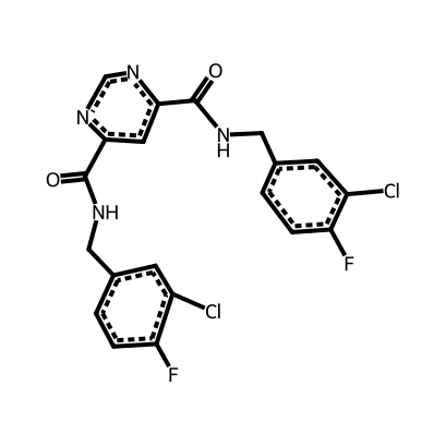 O=C(NCc1ccc(F)c(Cl)c1)c1cc(C(=O)NCc2ccc(F)c(Cl)c2)ncn1